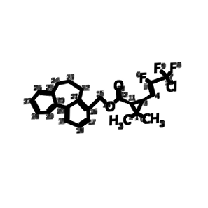 CC1(C)[C@H](C=C(F)C(F)(F)Cl)[C@@H]1C(=O)OCc1cccc2c1CCCc1ccccc1-2